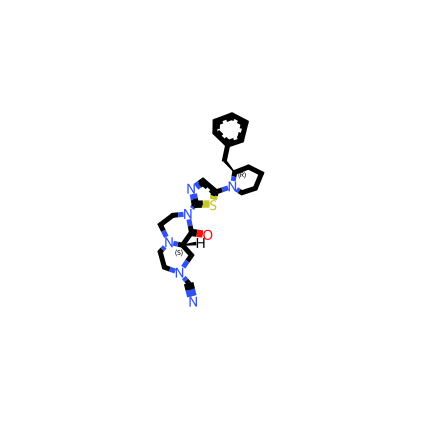 N#CN1CCN2CCN(c3ncc(N4CCCC[C@@H]4Cc4ccccc4)s3)C(=O)[C@@H]2C1